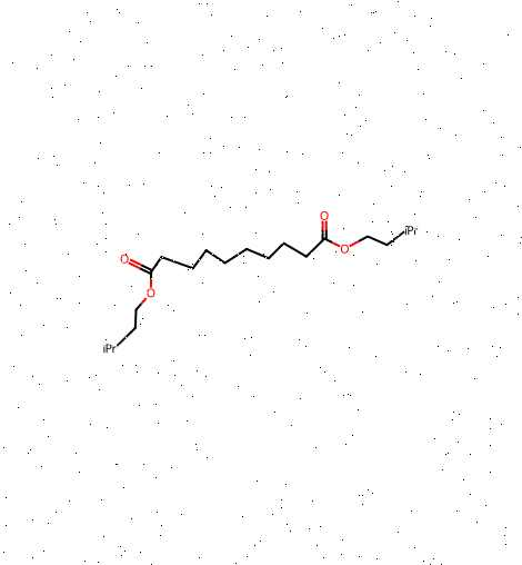 CC(C)CCOC(=O)CCCCCCCCC(=O)OCCC(C)C